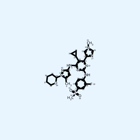 Cc1cc(Nc2nc(Nc3ccc(S(C)(=O)=O)cc3F)nc(-c3cn(C)cn3)c2C2CC2)nn1C1CCCCO1